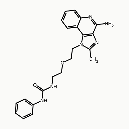 Cc1nc2c(N)nc3ccccc3c2n1CCOCCNC(=O)Nc1ccccc1